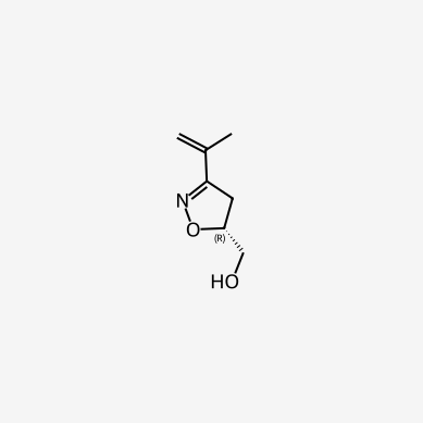 C=C(C)C1=NO[C@@H](CO)C1